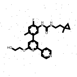 Cc1cc(F)c(NC(=O)NCCC2(C)CC2)cc1-c1cc(OCCO)nc(-c2ccncc2)c1